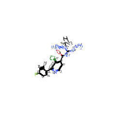 CN(N)/C(=N\N)NC(=O)c1ccnc(-c2ccc(F)cc2)c1Cl